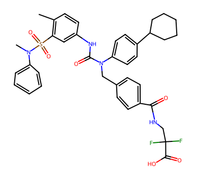 Cc1ccc(NC(=O)N(Cc2ccc(C(=O)NCC(F)(F)C(=O)O)cc2)c2ccc(C3CCCCC3)cc2)cc1S(=O)(=O)N(C)c1ccccc1